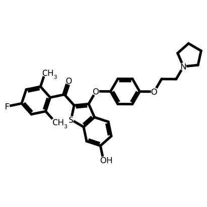 Cc1cc(F)cc(C)c1C(=O)c1sc2cc(O)ccc2c1Oc1ccc(OCCN2CCCC2)cc1